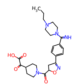 CCCN1CCN(C(=N)c2ccc(C3=NOC(C(=O)N4CCC(C(=O)C(=O)O)CC4)C3)cc2)CC1